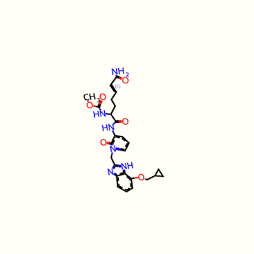 COC(=O)NC(CC/C=C/C(N)=O)C(=O)Nc1cccn(Cc2nc3cccc(OCC4CC4)c3[nH]2)c1=O